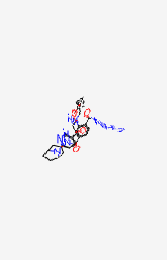 CCOCCC(=O)c1ccc(N2C3CCC2CC(NC(=O)c2ccc(C(N)=O)c(NCC4CC4)c2)C3)nc1